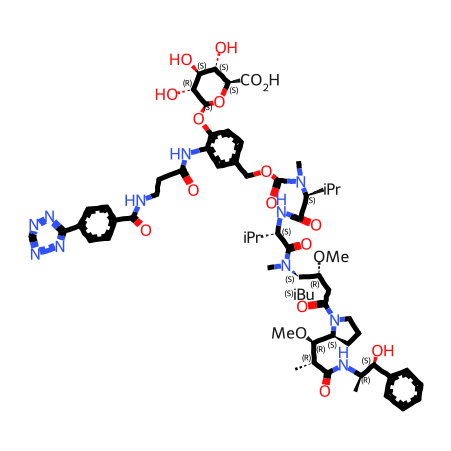 CC[C@H](C)[C@@H]([C@@H](CC(=O)N1CCC[C@H]1[C@H](OC)[C@@H](C)C(=O)N[C@H](C)[C@@H](O)c1ccccc1)OC)N(C)C(=O)[C@@H](NC(=O)[C@H](C(C)C)N(C)C(=O)OCc1ccc(O[C@@H]2O[C@H](C(=O)O)[C@@H](O)[C@H](O)[C@H]2O)c(NC(=O)CCNC(=O)c2ccc(-c3nncnn3)cc2)c1)C(C)C